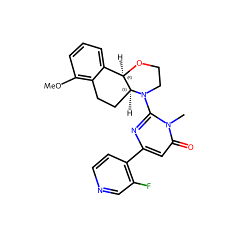 COc1cccc2c1CC[C@H]1[C@@H]2OCCN1c1nc(-c2ccncc2F)cc(=O)n1C